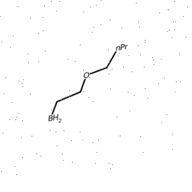 BCCOCCCC